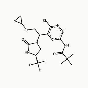 CC(C)(C)C(=O)Nc1cc(C(COC2CC2)N2C[C@@H](C(F)(F)F)NC2=O)c(Cl)nn1